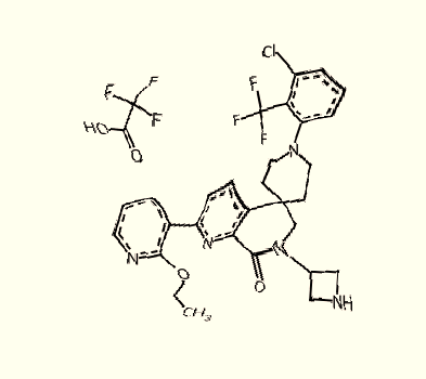 CCOc1ncccc1-c1ccc2c(n1)C(=O)N(C1CNC1)CC21CCN(c2cccc(Cl)c2C(F)(F)F)CC1.O=C(O)C(F)(F)F